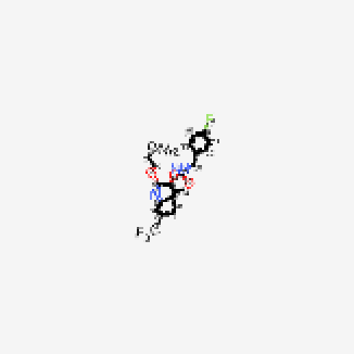 COCCOc1nc2cc(C(F)(F)F)ccc2c(C)c1OC(=O)NCc1ccc(F)cc1